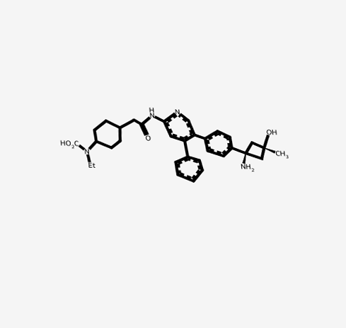 CCN(C(=O)O)C1CCC(CC(=O)Nc2cc(-c3ccccc3)c(-c3ccc([C@]4(N)C[C@](C)(O)C4)cc3)cn2)CC1